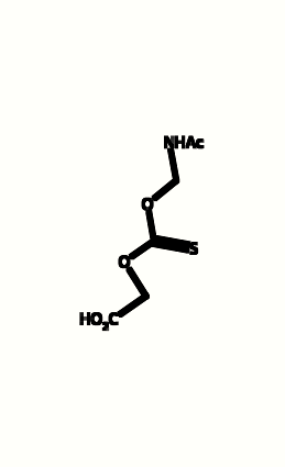 CC(=O)NCOC(=S)OCC(=O)O